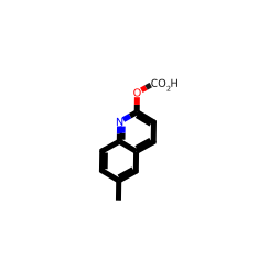 Cc1ccc2nc(OC(=O)O)ccc2c1